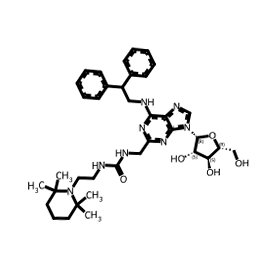 CC1(C)CCCC(C)(C)N1CCNC(=O)NCc1nc(NCC(c2ccccc2)c2ccccc2)c2ncn([C@@H]3O[C@H](CO)[C@@H](O)[C@@H]3O)c2n1